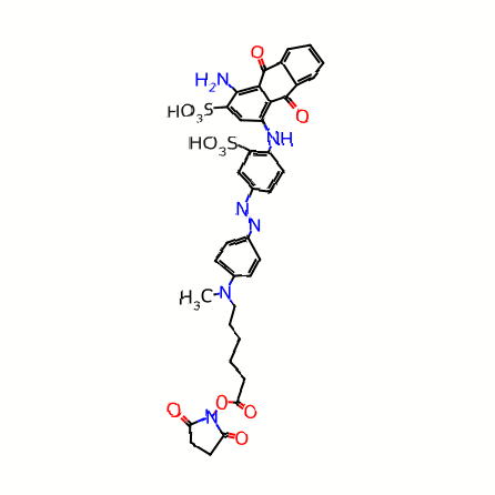 CN(CCCCCC(=O)ON1C(=O)CCC1=O)c1ccc(/N=N/c2ccc(Nc3cc(S(=O)(=O)O)c(N)c4c3C(=O)c3ccccc3C4=O)c(S(=O)(=O)O)c2)cc1